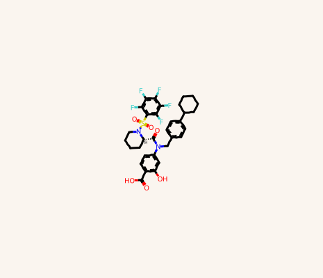 O=C(O)c1ccc(N(Cc2ccc(C3CCCCC3)cc2)C(=O)[C@@H]2CCCCN2S(=O)(=O)c2c(F)c(F)c(F)c(F)c2F)cc1O